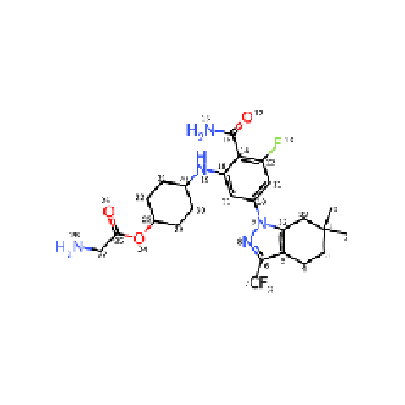 CC1(C)CCc2c(C(F)(F)F)nn(-c3cc(F)c(C(N)=O)c(NC4CCC(OC(=O)CN)CC4)c3)c2C1